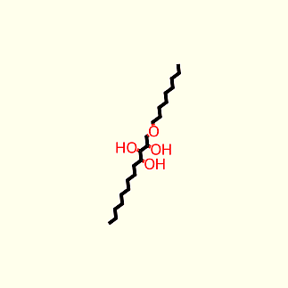 CCCCCCCCCOCC(O)C(O)C(O)CCCCCCCCC